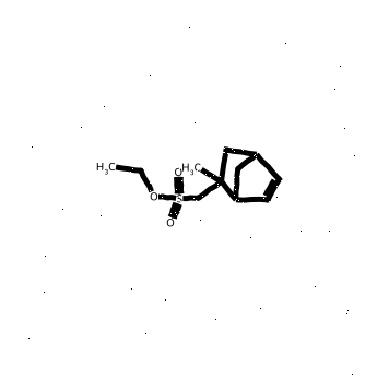 CCOS(=O)(=O)CC1(C)CC2C=CC1C2